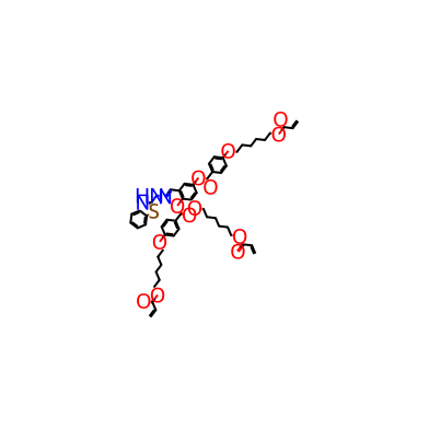 C=CC(=O)OCCCCCCOc1ccc(C(=O)Oc2cc(/C=N/Nc3nc4ccccc4s3)c(OC(=O)c3ccc(OCCCCCCOC(=O)C=C)cc3)c(OCCCCCCOC(=O)C=C)c2)cc1